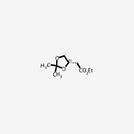 CCOC(=O)C[C@H]1COC(C)(C)O1